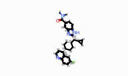 CN(C)C(=O)c1ccc2[nH]c([C@H](C3CC3)[C@H]3CC[C@@H](c4ccnc5ccc(F)cc54)CC3)nc2c1